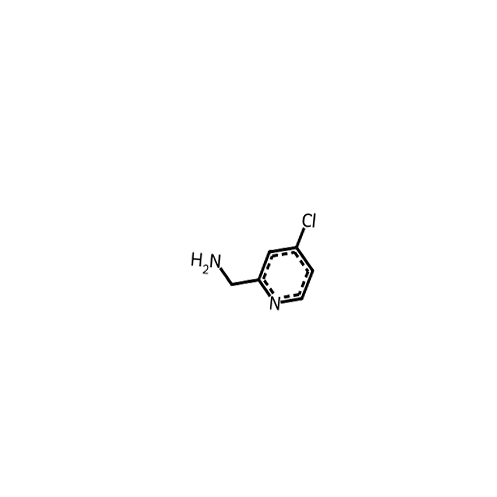 NCc1cc(Cl)ccn1